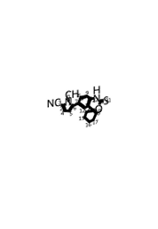 Cn1c(C#N)ccc1-c1ccc2c(c1)C1(CCCCC1)OC(=S)N2